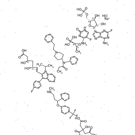 CC(C)n1c(/C=C/[C@@H](O)C[C@@H](O)CC(=O)O)c(-c2ccc(F)cc2)c2ccccc21.CCC(=O)N(c1ccccc1)C1CCN(CCc2ccccc2)CC1.CNCCC(Oc1ccc(C(F)(F)F)cc1)c1ccccc1.C[C@@H]1O[C@@H]1P(=O)(O)O.Cl.Nc1nc(=O)[nH]cc1F.Nc1nc(F)nc2c1ncn2[C@@H]1O[C@H](COP(=O)(O)O)[C@@H](O)[C@@H]1O.O=C(O)CC(O)(CC(=O)O)C(=O)O.[Na+]